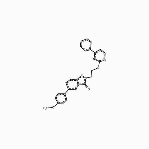 O=c1n(CCOc2nccc(-c3ccccc3)n2)nc2ccc(-c3ccc(OC(F)(F)F)cc3)cn12